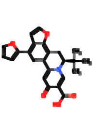 CC(C)(C)[C@@H]1Cc2c(cc(-c3ccco3)c3ccoc23)-c2cc(=O)c(C(=O)O)cn21